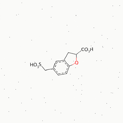 O=C(O)C1Cc2cc(CS(=O)(=O)O)ccc2O1